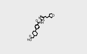 O=C(O)CC1CCC(c2ccc(C(=O)Nc3nnc(CCC4CCOC4)s3)cc2)CC1